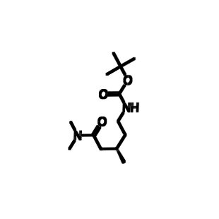 C[C@H](CCNC(=O)OC(C)(C)C)CC(=O)N(C)C